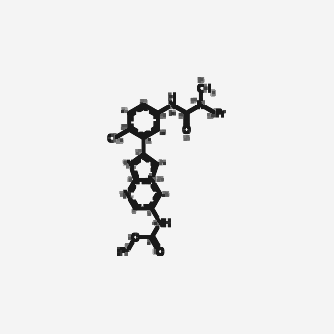 CC(C)OC(=O)Nc1cnc2nc(-c3cc(NC(=O)N(C)C(C)C)ccc3Cl)cn2c1